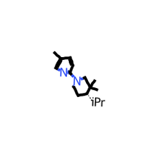 Cc1ccc(N2CC[C@@H](C(C)C)C(C)(C)C2)nc1